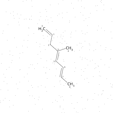 C=CC/C(C)=[C]/C=CC